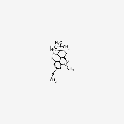 CC#Cc1cc(F)c(C2C(=O)CCC(C)(C(C)(C)C)C2=O)c(OC)c1